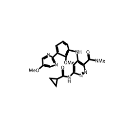 CNC(=O)c1nnc(NC(=O)C2CC2)cc1Nc1cccc(-c2ncc(OC)cn2)c1OC